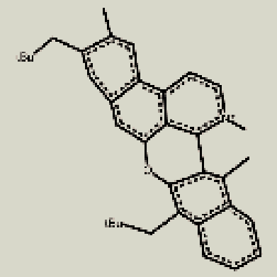 Cc1cc2c(cc1CC(C)(C)C)cc1c3c([n+](C)ccc32)-c2c(c(CC(C)(C)C)c3ccccc3c2C)O1